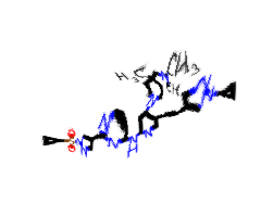 CN(C)CC1(C)CCN(c2cc(Nc3ccnc(-c4cnn(S(=O)(=O)C5CC5)c4)n3)ncc2C#Cc2cnn(C3CC3)c2)CC1